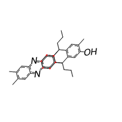 CCCC12c3ccccc3C(CCC)(c3cc(O)c(C)cc31)c1cc3nc4cc(C)c(C)cc4nc3cc12